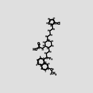 COc1ccc2nccc(C(F)CC[C@@H]3CCN(CCCCc4sccc4Cl)C[C@@H]3CC(=O)O)c2c1